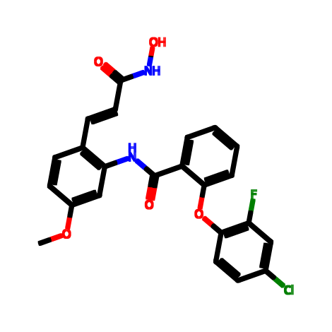 COc1ccc(C=CC(=O)NO)c(NC(=O)c2ccccc2Oc2ccc(Cl)cc2F)c1